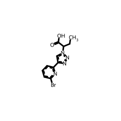 CCC(C(=O)O)n1cc(-c2cccc(Br)n2)nn1